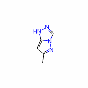 Cc1cc2[nH]ncn2n1